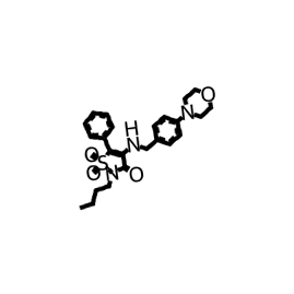 CCCCN1C(=O)C(NCc2ccc(N3CCOCC3)cc2)=C(c2ccccc2)S1(=O)=O